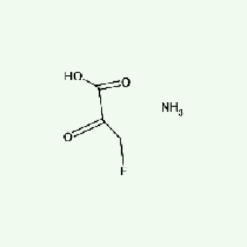 N.O=C(O)C(=O)CF